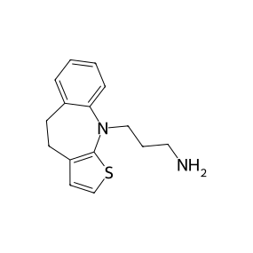 NCCCN1c2ccccc2CCc2ccsc21